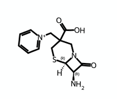 N[C@@H]1C(=O)N2CC(C[n+]3ccccc3)(C(=O)O)CS[C@H]12